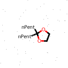 CCCCCC1(CCCCC)OCCO1